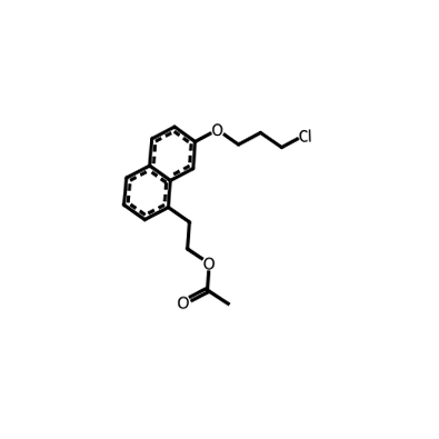 CC(=O)OCCc1cccc2ccc(OCCCCl)cc12